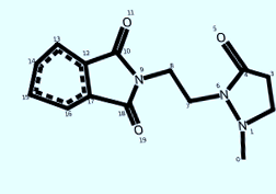 CN1CCC(=O)N1CCN1C(=O)c2ccccc2C1=O